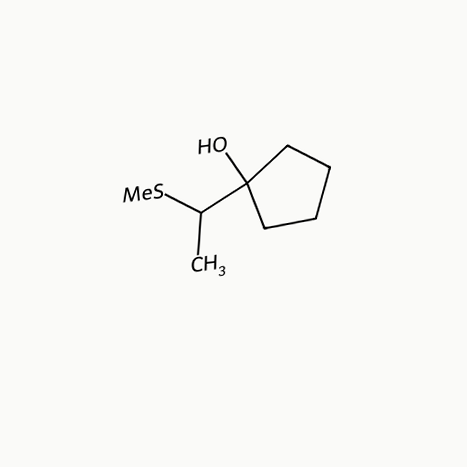 CSC(C)C1(O)CCCC1